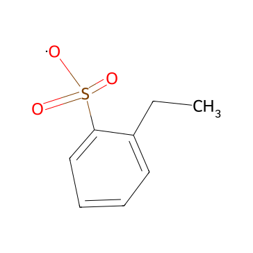 CCc1ccccc1S([O])(=O)=O